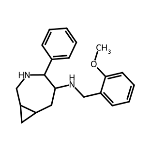 COc1ccccc1CNC1CC2CC2CNC1c1ccccc1